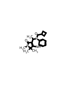 CC1C2=C(Nc3ccccc3N1C(=O)C1CCC1)C(C)(C)N(C)C2=O